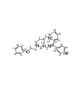 C[N+]1(CC2CCN(CCOc3ccccc3)CC2)CC=CC=C1C(N)c1ccc(F)cc1